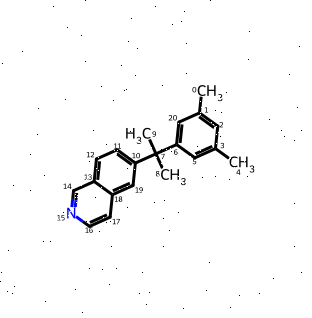 Cc1cc(C)cc(C(C)(C)c2ccc3cnccc3c2)c1